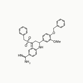 COc1cc(C(CNS(=O)(=O)Cc2ccccc2)Nc2ccc(C(=N)N)cc2)ccc1OCc1ccccc1